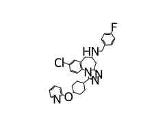 Fc1ccc(CN[C@H]2Cc3cc(Cl)ccc3-n3c(nnc3C3CCC(Oc4ccccn4)CC3)C2)cc1